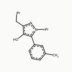 CCCn1nc(CC(C)C)c(O)c1-c1cccc(C)c1